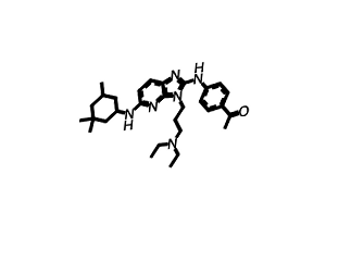 CCN(CC)CCCn1c(Nc2ccc(C(C)=O)cc2)nc2ccc(NC3CC(C)CC(C)(C)C3)nc21